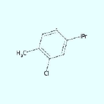 Cc1c[c]c(C(C)C)cc1Cl